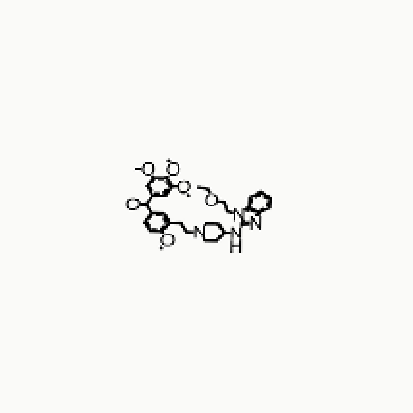 CCOCCn1c(NC2CCN(CCc3cc(C(=O)c4cc(OC)c(OC)c(OC)c4)ccc3OC)CC2)nc2ccccc21